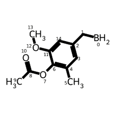 BCc1cc(C)c(OC(C)=O)c(OC)c1